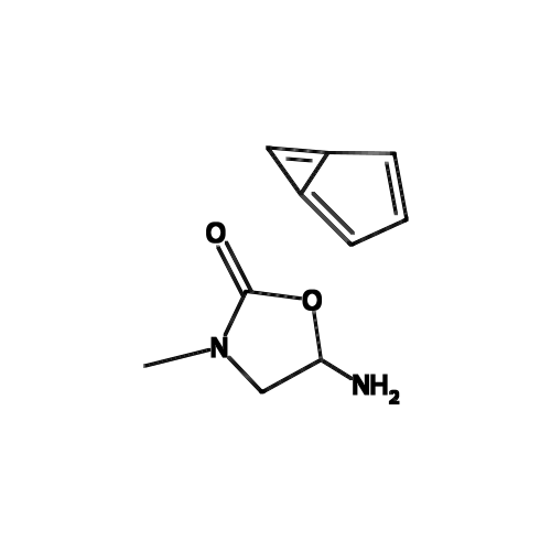 CN1CC(N)OC1=O.c1cc2cc-2c1